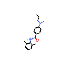 CCCN(C)c1ccc(C(=O)Nc2c(C)cccc2C)cc1